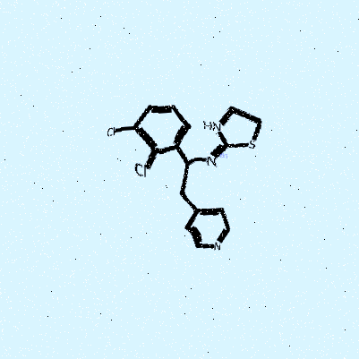 Clc1cccc(C(Cc2ccncc2)/N=C2\NCCS2)c1Cl